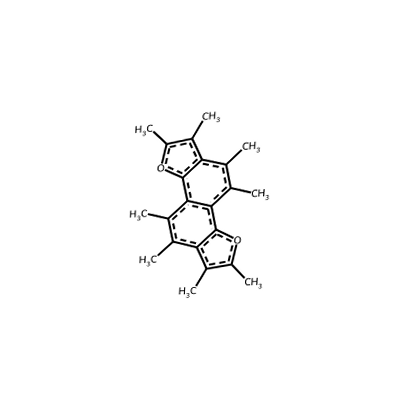 Cc1oc2c(c1C)c(C)c(C)c1c3oc(C)c(C)c3c(C)c(C)c21